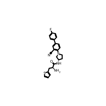 N#Cc1cc(-c2ccc(F)cc2)ccc1N1CC[C@H](NC(=O)[C@@H](N)Cc2cccs2)C1